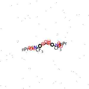 CCCOOSO/N=C(/c1ccc(OCC(O)COc2ccc(/C(=N/OS(=O)(=O)CCC)C(F)(F)F)cc2)cc1)C(F)(F)F